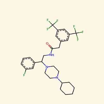 O=C(Cc1cc(C(F)(F)F)cc(C(F)(F)F)c1)NCC(c1cccc(F)c1)N1CCN(C2CCCCC2)CC1